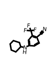 N#Cc1ccc(NC2CCCCC2)cc1C(F)(F)F